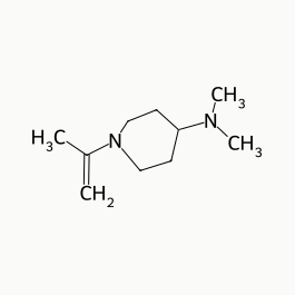 C=C(C)N1CCC(N(C)C)CC1